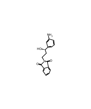 Nc1cccc([C@H](O)CCN2C(=O)c3ccccc3C2=O)c1